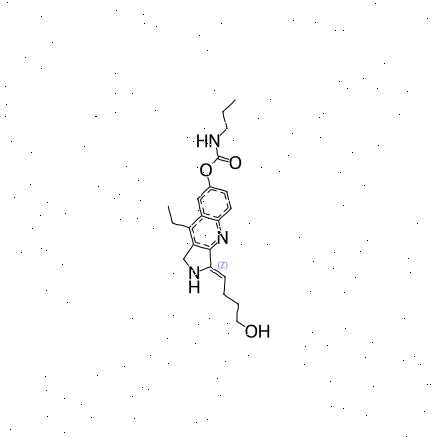 CCCNC(=O)Oc1ccc2nc3c(c(CC)c2c1)CN/C3=C\CCCO